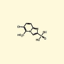 O=C(O)c1c(Cl)ccc2nc(P(=O)(O)O)cn12